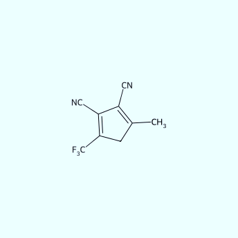 CC1=C(C#N)C(C#N)=C(C(F)(F)F)C1